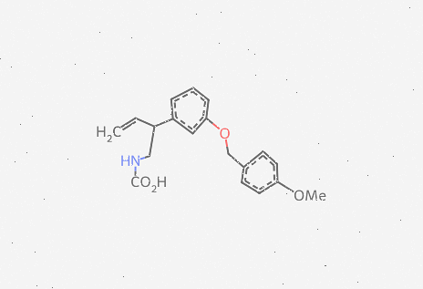 C=CC(CNC(=O)O)c1cccc(OCc2ccc(OC)cc2)c1